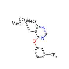 COC(=Cc1c(OC)ncnc1Oc1cccc(C(F)(F)F)c1)C(=O)O